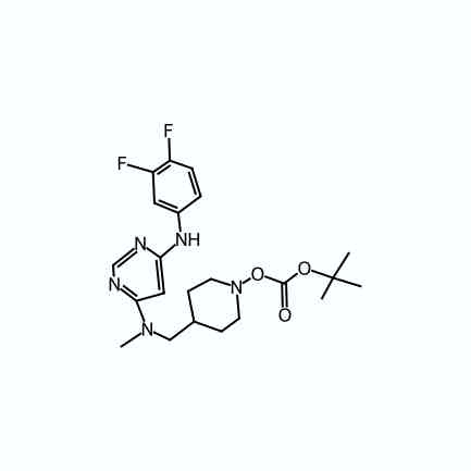 CN(CC1CCN(OC(=O)OC(C)(C)C)CC1)c1cc(Nc2ccc(F)c(F)c2)ncn1